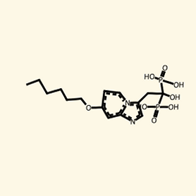 CCCCCCOc1ccn2c(CC(O)(P(=O)(O)O)P(=O)(O)O)cnc2c1